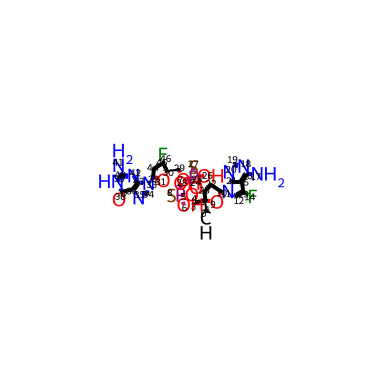 C#C[C@]1(COP(O)(O)=S)O[C@@H](n2cc(F)c3c(N)ncnc32)C[C@@H]1OP(O)(=S)OC[C@H]1O[C@@H](n2cnc3c(=O)[nH]c(N)nc32)C[C@@H]1F